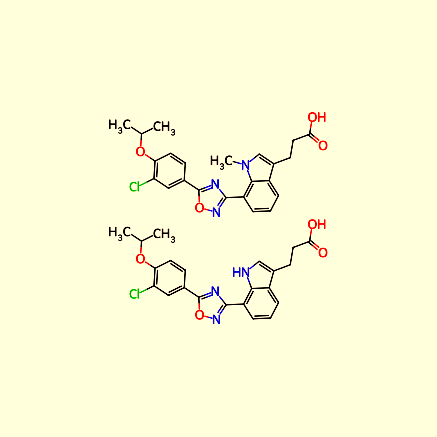 CC(C)Oc1ccc(-c2nc(-c3cccc4c(CCC(=O)O)c[nH]c34)no2)cc1Cl.CC(C)Oc1ccc(-c2nc(-c3cccc4c(CCC(=O)O)cn(C)c34)no2)cc1Cl